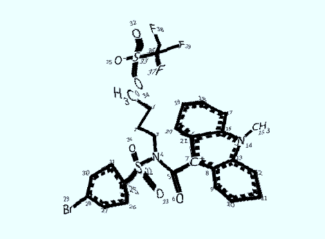 CCCCN(C(=O)[c+]1c2ccccc2n(C)c2ccccc21)S(=O)(=O)c1ccc(Br)cc1.O=S(=O)([O-])C(F)(F)F